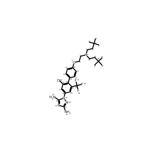 CC(C)(C)CCN(CCOc1ccc(-c2c(Cl)cc(-n3nc(N)nc3N)cc2C(F)(F)F)cc1)CCC(C)(C)C